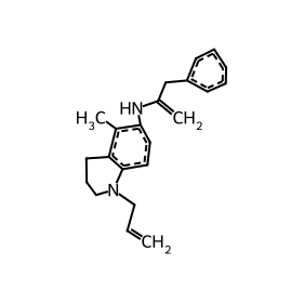 C=CCN1CCCc2c1ccc(NC(=C)Cc1ccccc1)c2C